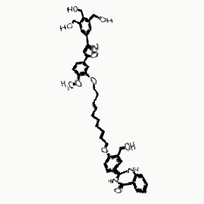 COc1ccc(-c2cc(-c3cc(CO)c(CO)c(CO)c3)no2)cc1OCCCCCCCCCCOc1ccc(C2NC(=O)c3ccccc3N2)cc1CO